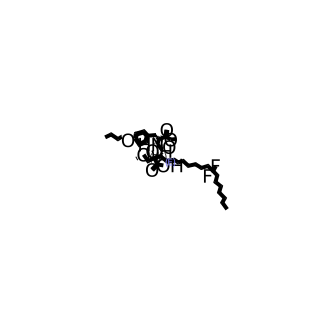 CCCCCCCC(F)(F)CCCCCC/C=C/[C@H](C(=O)N[C@@H](Cc1ccc(OCCCC)cc1)C(=O)OC)[C@@](O)(COC)C(=O)O